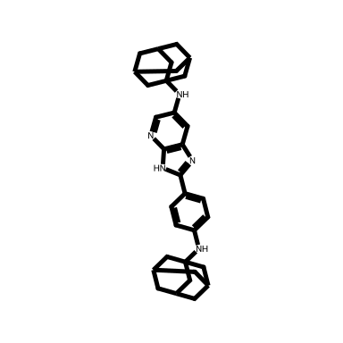 c1cc(-c2nc3cc(NC45CC6CC(CC(C6)C4)C5)cnc3[nH]2)ccc1NC12CC3CC(CC(C3)C1)C2